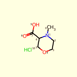 CN1CCOCC1C(=O)O.Cl